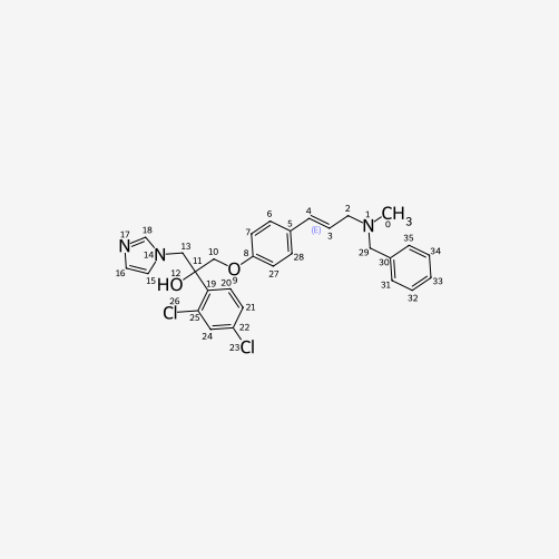 CN(C/C=C/c1ccc(OCC(O)(Cn2ccnc2)c2ccc(Cl)cc2Cl)cc1)Cc1ccccc1